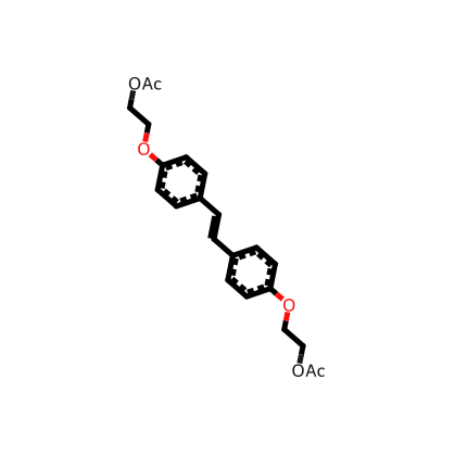 CC(=O)OCCOc1ccc(/C=C/c2ccc(OCCOC(C)=O)cc2)cc1